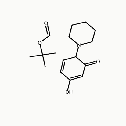 CC(C)(C)OC=O.O=C1C=C(O)C=CC1N1CCCCC1